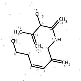 C=C(/C=C\CCC)CNC(=C)C(C)C(=C)C